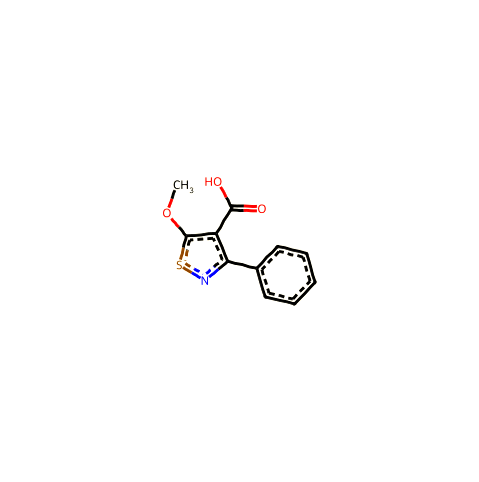 COc1snc(-c2ccccc2)c1C(=O)O